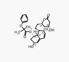 C[C@H]1C=CC2=C[C@@H](O)C[C@H](OC(=O)C(C)(C)Oc3ccccc3)[C@@H]2[C@H]1CC[C@@H]1C[C@@H](O)CC(=O)O1